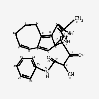 CC1=C2NNC3(C=C4C=CCCCC4=C23)C(C(=O)C(C#N)C(=O)Nc2ccccc2)=C1